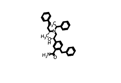 C[C@H](CCc1ccccc1)N(C[C@@H](O)c1ccc(Cc2ccccc2)c(C(N)=O)c1)[C@H](C)c1ccccc1